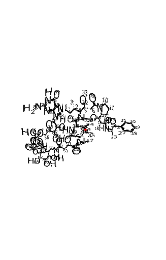 CC[C@H](C)[C@@H]([C@@H](CC(=O)N1CCC[C@H]1[C@H](OC)[C@@H](C)C(=O)N[C@H](C)[C@@H](O)c1ccccc1)OC)N(C)C(=O)[C@@H](NC(=O)[C@H](C(C)C)N(C)C(=O)CCC(=O)NCC1O[C@H](OP(=O)(O)OP(=O)(O)OC[C@H]2O[C@@H](n3cnc4c(=O)[nH]c(N)nc43)C(O)C2O)C(O)C(O)[C@@H]1O)C(C)C